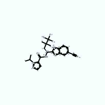 CC(C)n1nccc1C(=O)N[C@@H](CC(C)(C)C(F)(F)F)c1nc2cc(C#N)ccc2[nH]1